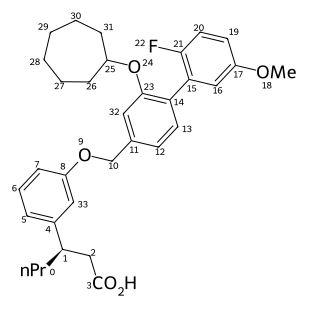 CCC[C@H](CC(=O)O)c1cccc(OCc2ccc(-c3cc(OC)ccc3F)c(OC3CCCCCC3)c2)c1